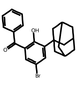 O=C(c1ccccc1)c1cc(Br)cc(C23CC4CC(CC(C4)C2)C3)c1O